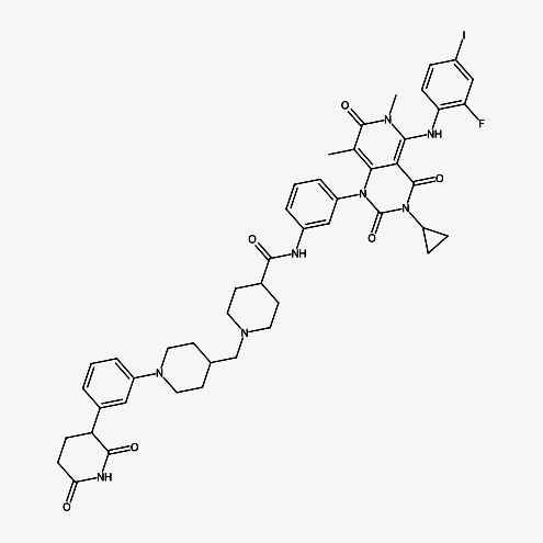 Cc1c(=O)n(C)c(Nc2ccc(I)cc2F)c2c(=O)n(C3CC3)c(=O)n(-c3cccc(NC(=O)C4CCN(CC5CCN(c6cccc(C7CCC(=O)NC7=O)c6)CC5)CC4)c3)c12